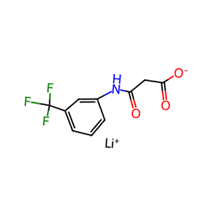 O=C([O-])CC(=O)Nc1cccc(C(F)(F)F)c1.[Li+]